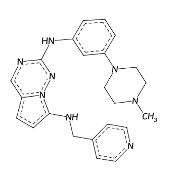 CN1CCN(c2cccc(Nc3ncc4ccc(NCc5ccncc5)n4n3)c2)CC1